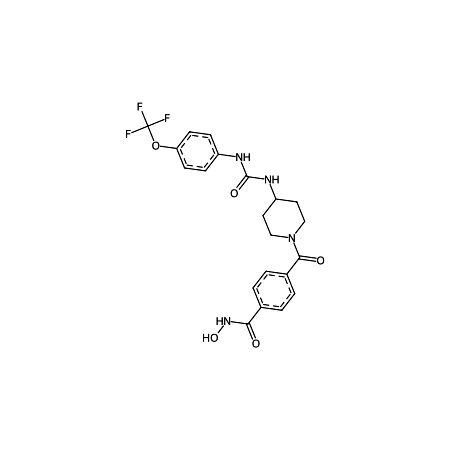 O=C(Nc1ccc(OC(F)(F)F)cc1)NC1CCN(C(=O)c2ccc(C(=O)NO)cc2)CC1